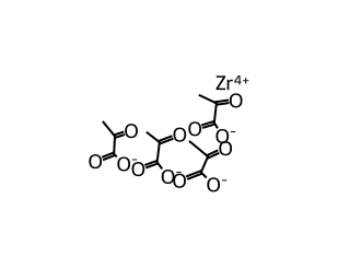 CC(=O)C(=O)[O-].CC(=O)C(=O)[O-].CC(=O)C(=O)[O-].CC(=O)C(=O)[O-].[Zr+4]